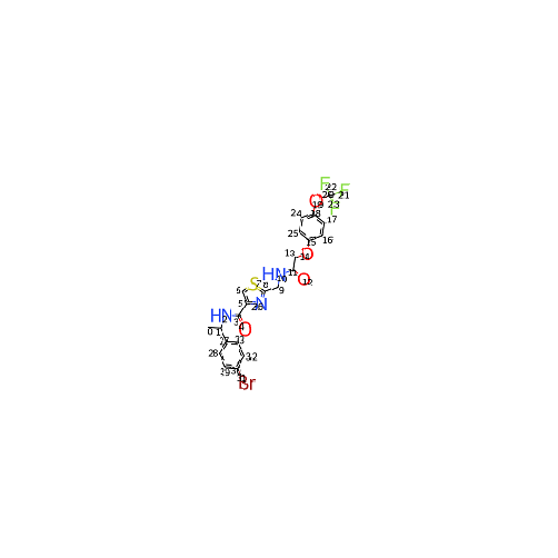 CC(NC(=O)c1csc(CNC(=O)COc2ccc(OC(F)(F)F)cc2)n1)c1ccc(Br)cc1